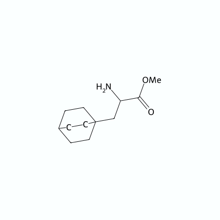 COC(=O)C(N)CC12CCC(CC1)CC2